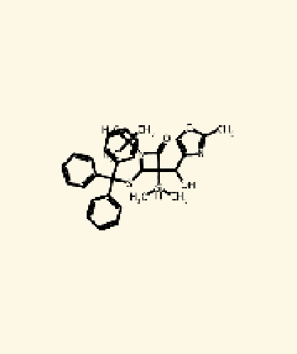 Cc1nc(C(O)C2([SiH](C)C)C(=O)N(C(C)(C)C)C2SC(c2ccccc2)(c2ccccc2)c2ccccc2)co1